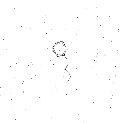 [O]CCSc1ccccn1